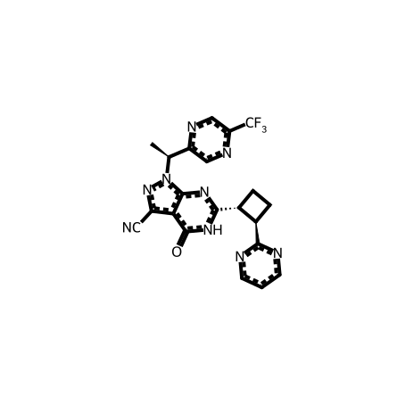 C[C@@H](c1cnc(C(F)(F)F)cn1)n1nc(C#N)c2c(=O)[nH]c([C@@H]3CC[C@H]3c3ncccn3)nc21